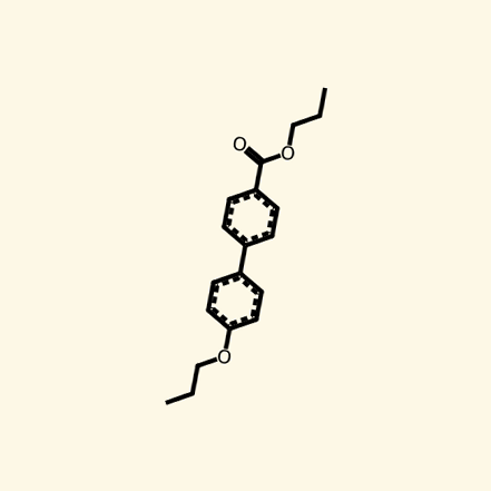 CCCOC(=O)c1ccc(-c2ccc(OCCC)cc2)cc1